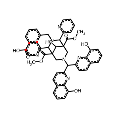 COC(=O)C12CN(C(c3ccc4cccc(O)c4n3)c3ccc4cccc(O)c4n3)CC(C(=O)OC)(C(c3ccccn3)N(Cc3cccc(C(=O)O)n3)C1c1ccccn1)C2O